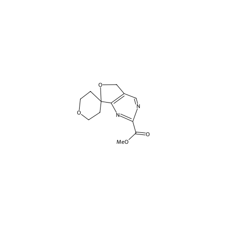 COC(=O)c1ncc2c(n1)C1(CCOCC1)OC2